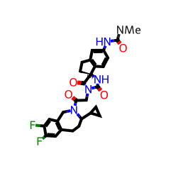 CNC(=O)Nc1ccc2c(c1)CC[C@]21NC(=O)N(CC(=O)N2Cc3cc(F)c(F)cc3CCC2C2CC2)C1=O